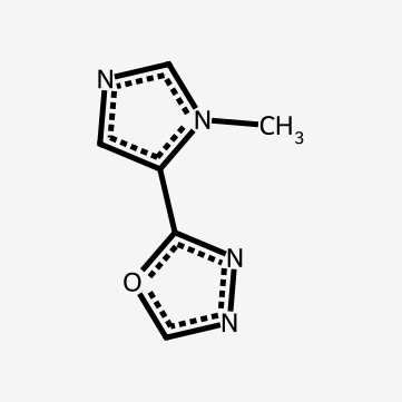 Cn1cncc1-c1nnco1